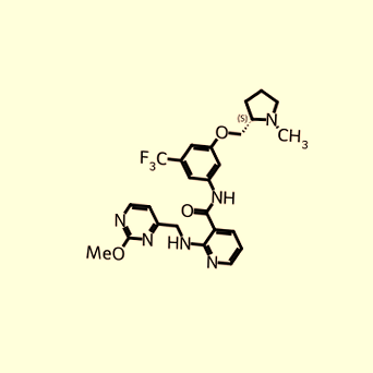 COc1nccc(CNc2ncccc2C(=O)Nc2cc(OC[C@@H]3CCCN3C)cc(C(F)(F)F)c2)n1